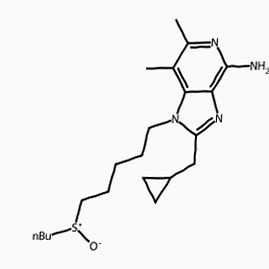 CCCC[S+]([O-])CCCCCn1c(CC2CC2)nc2c(N)nc(C)c(C)c21